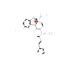 CN(C(=O)/C=C/c1ccoc1)C1C=C[C@@]2(O)[C@H]3Cc4ccc(O)c5c4[C@@]2(CCN3C)C1O5